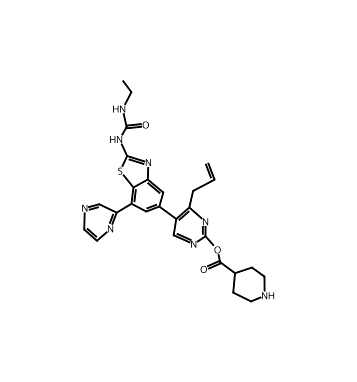 C=CCc1nc(OC(=O)C2CCNCC2)ncc1-c1cc(-c2cnccn2)c2sc(NC(=O)NCC)nc2c1